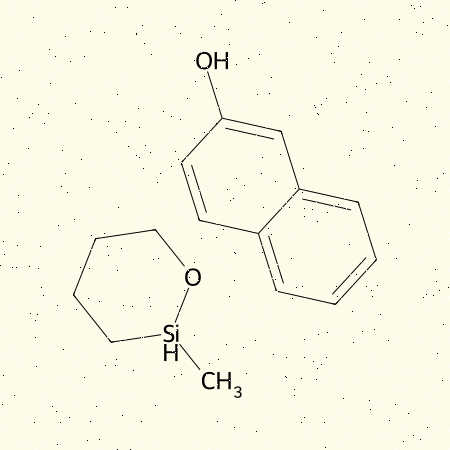 C[SiH]1CCCCO1.Oc1ccc2ccccc2c1